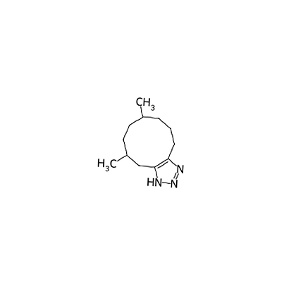 CC1CCCc2nn[nH]c2CC(C)CC1